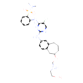 C[C@@H](O)CNCOC1CCCc2cc(Nc3ncc(Cl)c(Nc4ccccc4S(=O)(=O)N(C)C)n3)ccc2C1